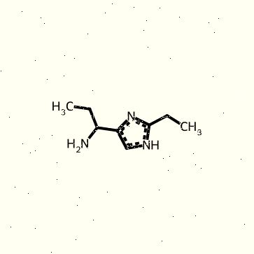 CCc1nc(C(N)CC)c[nH]1